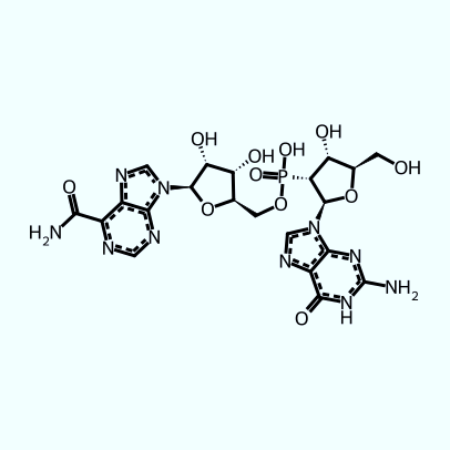 NC(=O)c1ncnc2c1ncn2[C@@H]1O[C@H](COP(=O)(O)[C@@H]2[C@H](O)[C@@H](CO)O[C@H]2n2cnc3c(=O)[nH]c(N)nc32)[C@@H](O)[C@H]1O